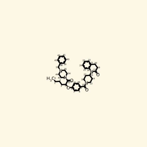 CCCCC(Oc1ccc(C(=O)N2CCC(N3C(=O)CCc4ccccc43)CC2)cc1)C(=O)N1CCN(Cc2ccccc2)CC1